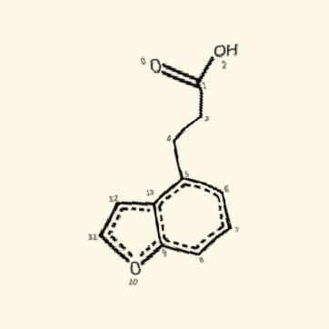 O=C(O)CCc1cccc2occc12